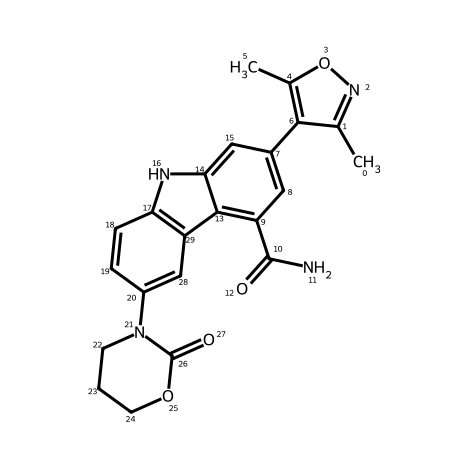 Cc1noc(C)c1-c1cc(C(N)=O)c2c(c1)[nH]c1ccc(N3CCCOC3=O)cc12